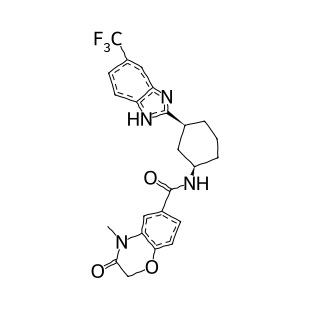 CN1C(=O)COc2ccc(C(=O)N[C@@H]3CCC[C@H](c4nc5cc(C(F)(F)F)ccc5[nH]4)C3)cc21